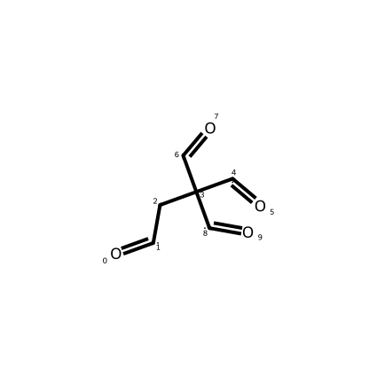 O=[C]CC([C]=O)([C]=O)[C]=O